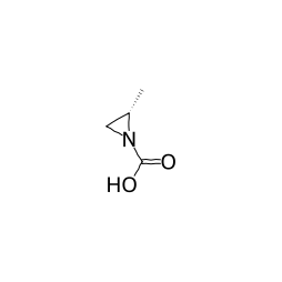 C[C@H]1CN1C(=O)O